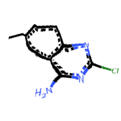 Cc1ccc2nc(Cl)nc(N)c2c1